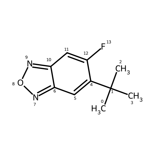 CC(C)(C)c1cc2nonc2cc1F